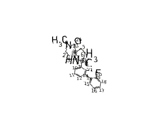 CN1CC[C@@]2(CC[C@@](C)(c3cccc(-c4ccccc4F)c3)N2)C1=O